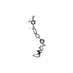 C[C@H]1CC2(CCN(c3ccc(C(=O)N4CCC5(CC4)CC(=O)C5)cc3)CC2)CN1c1ccc(C#N)c(Cl)c1